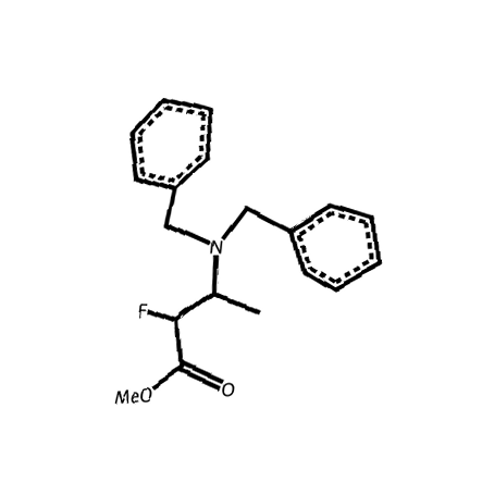 COC(=O)C(F)C(C)N(Cc1ccccc1)Cc1ccccc1